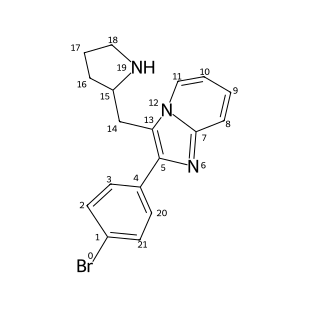 Brc1ccc(-c2nc3ccccn3c2CC2CCCN2)cc1